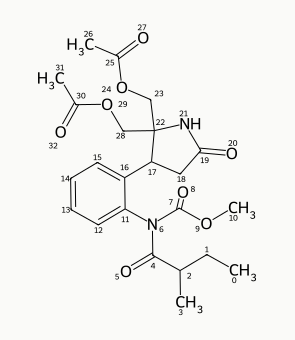 CCC(C)C(=O)N(C(=O)OC)c1ccccc1C1CC(=O)NC1(COC(C)=O)COC(C)=O